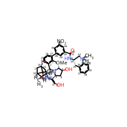 COc1c(CN2C[C@@H](O)C[C@H]2/C(=C\O)N[C@H]2C[C@H]3C[C@@H]([C@@H]2C)C3(C)C)cccc1-c1cc(C(=O)N[C@@H](Cc2ccccc2)CN(C)C)cc([N+](=O)[O-])c1